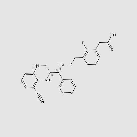 N#Cc1cccc2c1N[C@@H]([C@H](NCCc1cccc(CC(=O)O)c1F)c1ccccc1)CN2